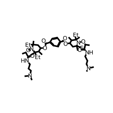 CCC1(C)CC(OC(=O)c2ccc(C(=O)OC3CC(C)(CC)N(OC(C)C(=O)NCCCN(C)C)C(C)(CC)C3C)cc2)C(C)C(C)(CC)N1OC(C)C(=O)NCCCN(C)C